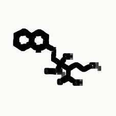 CCCC(C(=O)O)C(O)(CSc1ccc2ccccc2n1)[PH2]=O